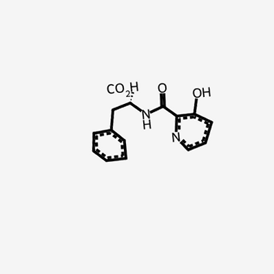 O=C(N[C@H](Cc1ccccc1)C(=O)O)c1ncccc1O